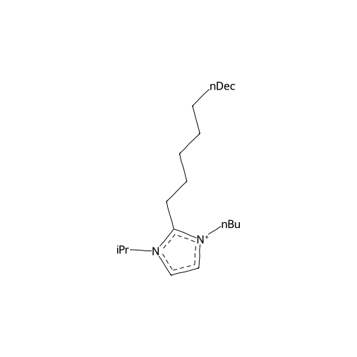 CCCCCCCCCCCCCCCc1n(C(C)C)cc[n+]1CCCC